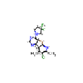 Cc1nc2sc3c(N4CCC(F)(F)C4)ncnc3c2c(C)c1Cl